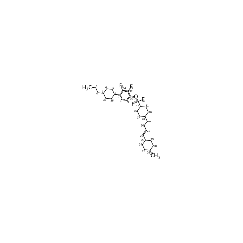 CCCC1CCC(c2ccc(OC(F)(F)C3CCC(CC/C=C/C4CCC(C)CC4)CC3)c(F)c2F)CC1